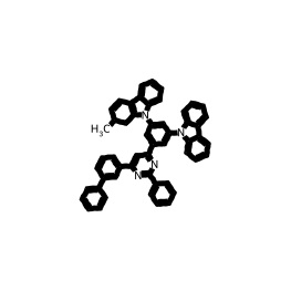 CC1C=Cc2c(n(-c3cc(-c4cc(-c5cccc(-c6ccccc6)c5)nc(-c5ccccc5)n4)cc(-n4c5ccccc5c5ccccc54)c3)c3ccccc23)C1